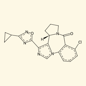 O=C1c2c(Cl)cccc2-n2cnc(-c3nc(C4CC4)no3)c2[C@@H]2CCCN12